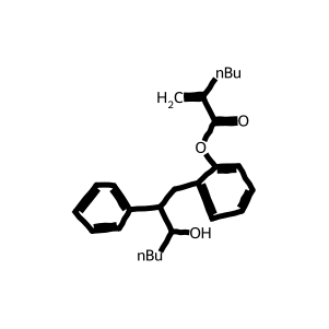 C=C(CCCC)C(=O)Oc1ccccc1CC(c1ccccc1)C(O)CCCC